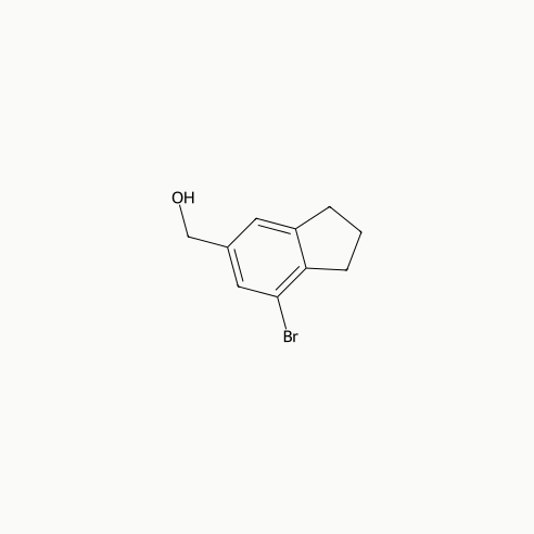 OCc1cc(Br)c2c(c1)CCC2